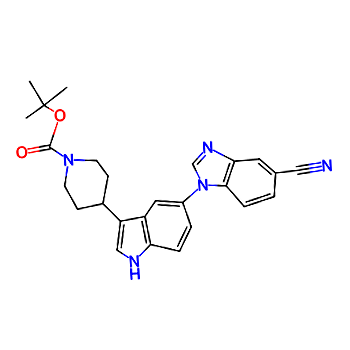 CC(C)(C)OC(=O)N1CCC(c2c[nH]c3ccc(-n4cnc5cc(C#N)ccc54)cc23)CC1